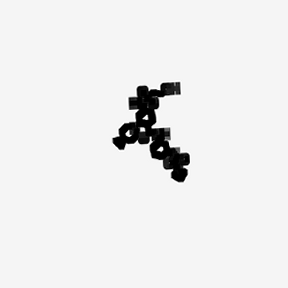 O=C(NC1=CC=CC(=NS(=O)(=O)N2CCC2)C1)c1ccc(NS(=O)(=O)CCO)cc1N1CCC2(CC1)CC2